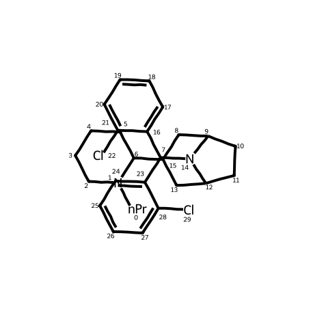 CCCN1CCCCC1C1CC2CCC(C1)N2C(c1ccccc1Cl)c1ccccc1Cl